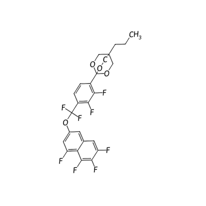 CCCC12COC(c3ccc(C(F)(F)Oc4cc(F)c5c(F)c(F)c(F)cc5c4)c(F)c3F)(OC1)OC2